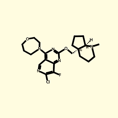 CN1CCC[C@@]2(COc3nc(N4CCCOCC4)c4cnc(Cl)c(F)c4n3)CCC[C@@H]12